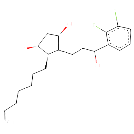 O=C(O)CCCCCC[C@@H]1C(CCC(O)c2cccc(F)c2F)[C@H](O)C[C@@H]1O